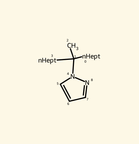 CCCCCCCC(C)(CCCCCCC)n1cccn1